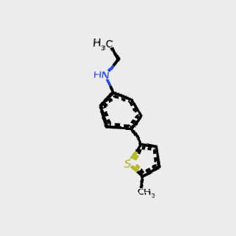 CCNc1ccc(-c2ccc(C)s2)cc1